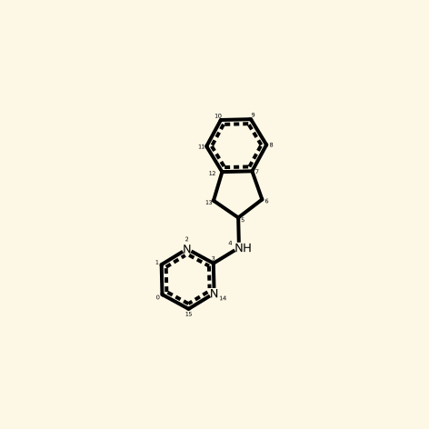 c1cnc(NC2Cc3ccccc3C2)nc1